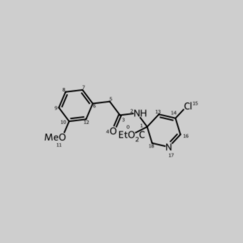 CCOC(=O)C1(NC(=O)Cc2cccc(OC)c2)C=C(Cl)C=NC1